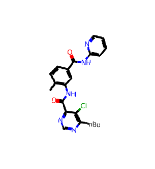 CCCCc1ncnc(C(=O)Nc2cc(C(=O)Nc3ccccn3)ccc2C)c1Cl